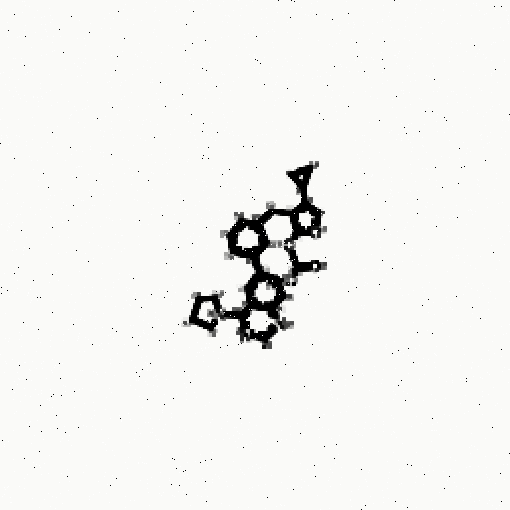 O=C(O)Oc1occ(C2CC2)c1Cc1cccc(-c2ccc3ncnc(N4CCCC4)c3c2)c1